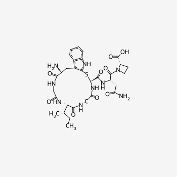 CC[C@H](C)[C@@H]1NC(=O)CNC(=O)[C@@H](N)Cc2c([nH]c3ccccc23)S[C@@H](C(=O)N[C@@H](CC(N)=O)C(=O)N2CC[C@H]2C(=O)O)NC(=O)CNC1=O